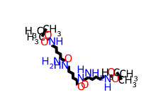 CC(C)(C)OC(=O)NCCCCC(N)C(=O)NCCCCC(C=O)NC(=O)C(N)CCCCNC(=O)OC(C)(C)C